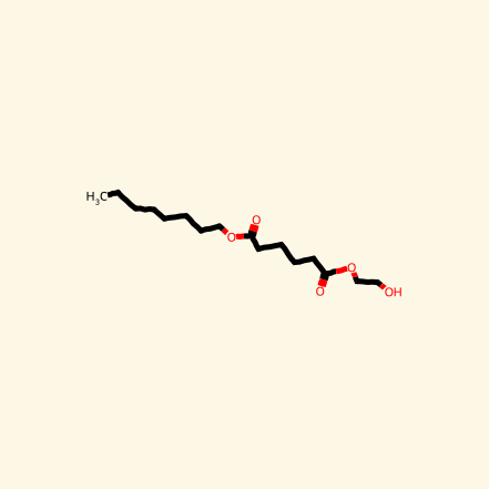 CCCCCCCCOC(=O)CCCCC(=O)OCCO